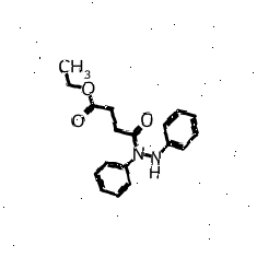 CCOC(=O)CCC(=O)N(Nc1ccccc1)c1ccccc1